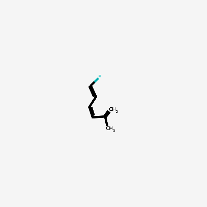 C=C(C)/C=C\C=C\F